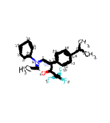 CCN(/C=C(\C(=O)C(F)(F)F)c1ccc(C(C)C)cc1)c1ccccc1